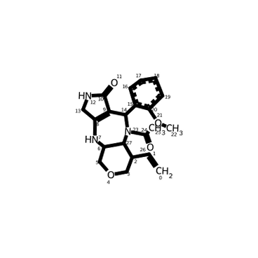 C=CC1COCC2NC3=C(C(=O)NC3)C(c3ccccc3OC)N(C(C)=O)C12